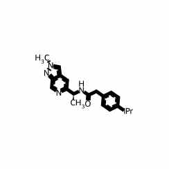 CC(C)c1ccc(CC(=O)N[C@H](C)c2cc3cn(C)nc3cn2)cc1